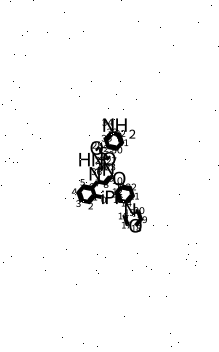 CC(C)c1ccccc1-c1cc(Oc2ccc(N3CCOCC3)cc2)nc(NS(=O)(=O)c2cccc(N)c2)n1